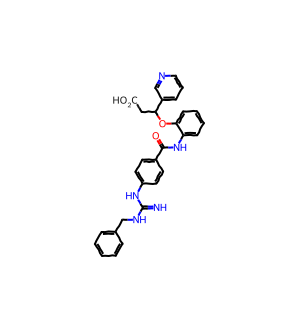 N=C(NCc1ccccc1)Nc1ccc(C(=O)Nc2ccccc2OC(CC(=O)O)c2cccnc2)cc1